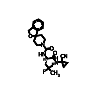 CC(F)(F)C[C@H](NC(=O)N1CCC2(CC1)OCc1ccccc12)C(=O)NC1(C#N)CC1